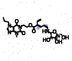 C=C/C(=C\C=C/NC1O[C@H](CO)[C@@H](O)[C@H]1O)C(=O)OCCn1c(=O)c2c(ncn2CCC)n(C)c1=O